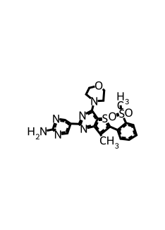 Cc1c(-c2ccccc2S(C)(=O)=O)sc2c(N3CCOCC3)nc(-c3cnc(N)nc3)nc12